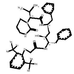 [2H]C([2H])([2H])c1cccc(C([2H])([2H])[2H])c1OCC(=O)N[C@@H](Cc1ccccc1)[C@@H](O)C[C@H](Cc1ccccc1)NC(=O)[C@H](C(C)C)N1CCCNC1=O